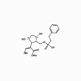 CCCCC=C(C(=O)OC)C1C(COP(=O)(O)CCc2ccccc2)[C@@H](O)C[C@H]1O